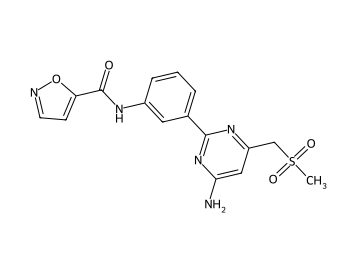 CS(=O)(=O)Cc1cc(N)nc(-c2cccc(NC(=O)c3ccno3)c2)n1